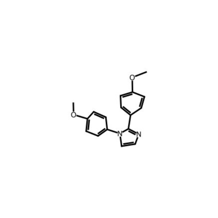 COc1ccc(-c2nccn2-c2ccc(OC)cc2)cc1